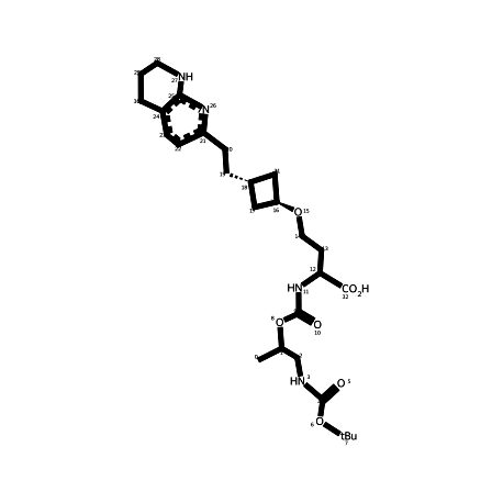 CC(CNC(=O)OC(C)(C)C)OC(=O)NC(CCO[C@H]1C[C@H](CCc2ccc3c(n2)NCCC3)C1)C(=O)O